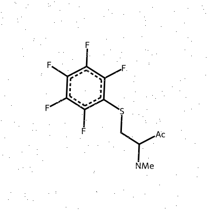 CNC(CSc1c(F)c(F)c(F)c(F)c1F)C(C)=O